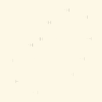 [2H]c1c([2H])c([2H])c2c([c]c([2H])c3c([2H])c4c([2H])c([2H])c([2H])c([2H])c4c([2H])c32)c1[2H]